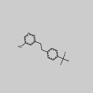 Oc1cnnc(CCc2ccc(C(F)(F)F)cc2)c1